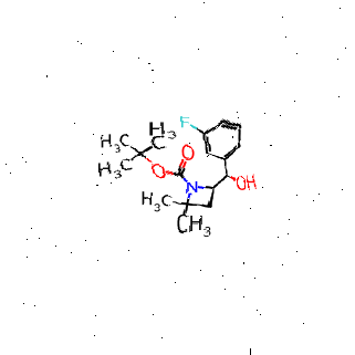 CC(C)(C)OC(=O)N1[C@@H]([C@H](O)c2cccc(F)c2)CC1(C)C